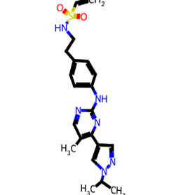 C=CS(=O)(=O)NCCc1ccc(Nc2ncc(C)c(-c3cnn(C(C)C)c3)n2)cc1